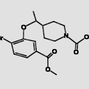 COC(=O)c1ccc(Br)c(OC(C)C2CCN(C(=O)O)CC2)c1